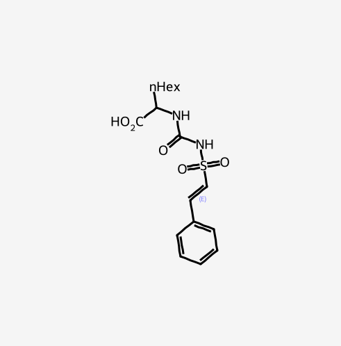 CCCCCCC(NC(=O)NS(=O)(=O)/C=C/c1ccccc1)C(=O)O